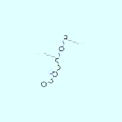 CCCCCCc1ccsc1/C=C/c1ccc(/C=C/c2sc(-c3ccc(-c4ccc(-c5ccc(-c6ccccc6)s5)c5nsnc45)s3)cc2CCCCCC)cc1